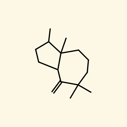 C=C1C2CCC(C)C2(C)CCCC1(C)C